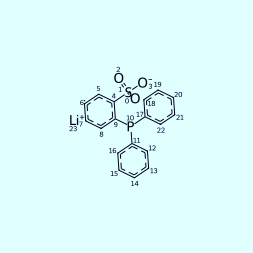 O=S(=O)([O-])c1c[c]ccc1P(c1ccccc1)c1ccccc1.[Li+]